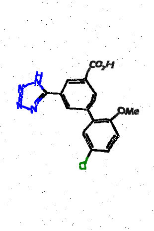 COc1ccc(Cl)cc1-c1cc(C(=O)O)cc(-c2nnn[nH]2)c1